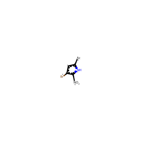 CC(=O)c1cc(Br)c([N+](=O)[O-])[nH]1